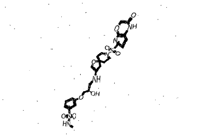 CNS(=O)(=O)c1cccc(OC[C@@H](O)CNC2COC3(CCN(S(=O)(=O)c4ccc5c(n4)OCC(=O)N5)CC3)C2)c1